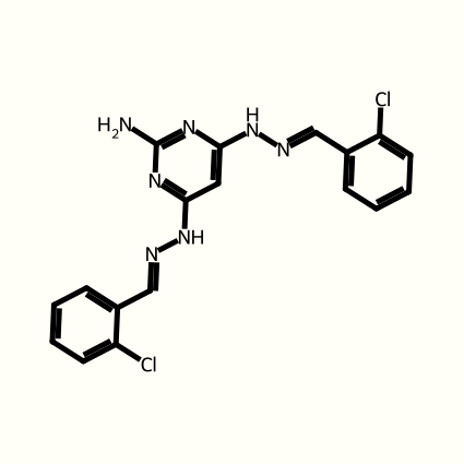 Nc1nc(N/N=C/c2ccccc2Cl)cc(N/N=C/c2ccccc2Cl)n1